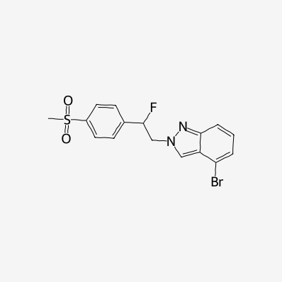 CS(=O)(=O)c1ccc(C(F)Cn2cc3c(Br)cccc3n2)cc1